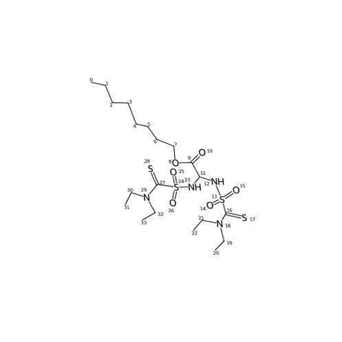 CCCCCCCCOC(=O)C(NS(=O)(=O)C(=S)N(CC)CC)NS(=O)(=O)C(=S)N(CC)CC